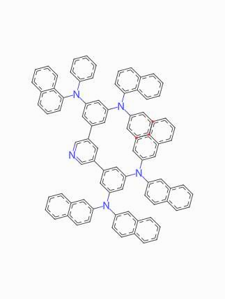 c1ccc(N(c2cc(-c3cncc(-c4cc(N(c5ccc6ccccc6c5)c5ccc6ccccc6c5)cc(N(c5ccc6ccccc6c5)c5ccc6ccccc6c5)c4)c3)cc(N(c3ccccc3)c3cccc4ccccc34)c2)c2cccc3ccccc23)cc1